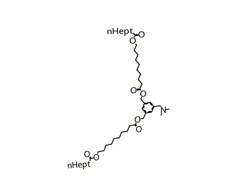 CCCCCCCC(=O)OCCCCCCCCCC(=O)OCc1cc(COC(=O)CCCCCCCCCOC(=O)CCCCCCC)cc(CN(C)C)c1